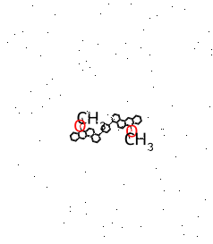 CCOc1c2ccccc2cc2c1ccc1c(-c3ccc(-c4cccc5c4ccc4c(OCC)c6ccccc6cc45)cc3)cccc12